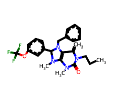 C=C1C2=C(N(C)C(=O)N1CCC)N(C)C(c1cccc(OC(F)(F)F)c1)N2Cc1ccccc1